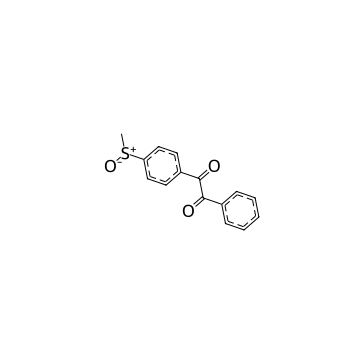 C[S+]([O-])c1ccc(C(=O)C(=O)c2ccccc2)cc1